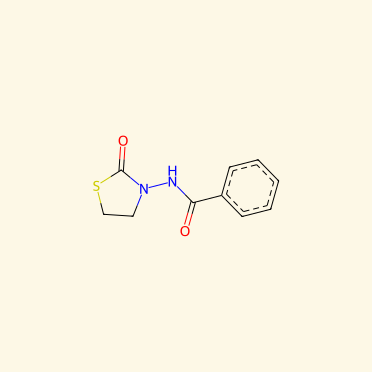 O=C(NN1CCSC1=O)c1ccccc1